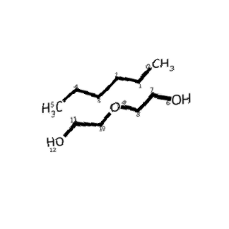 CCCCCC.OCCOCCO